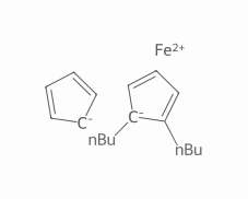 CCCCc1ccc[c-]1CCCC.[Fe+2].c1cc[cH-]c1